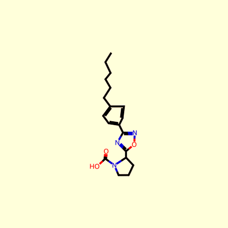 CCCCCCc1ccc(-c2noc(C3CCCN3C(=O)O)n2)cc1